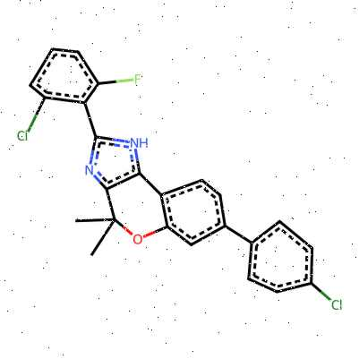 CC1(C)Oc2cc(-c3ccc(Cl)cc3)ccc2-c2[nH]c(-c3c(F)cccc3Cl)nc21